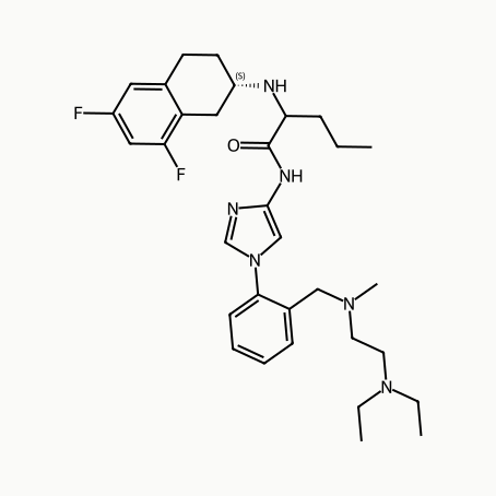 CCCC(N[C@H]1CCc2cc(F)cc(F)c2C1)C(=O)Nc1cn(-c2ccccc2CN(C)CCN(CC)CC)cn1